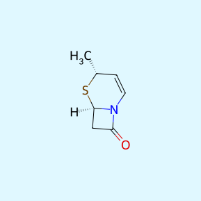 C[C@@H]1C=CN2C(=O)C[C@H]2S1